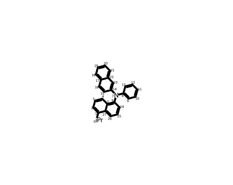 CC(C)c1cccc2c(N(c3ccccc3)c3ccc4ccccc4c3)cccc12